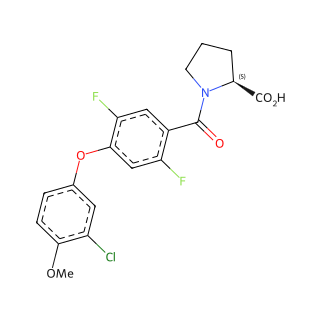 COc1ccc(Oc2cc(F)c(C(=O)N3CCC[C@H]3C(=O)O)cc2F)cc1Cl